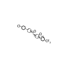 O=C(CN1CCN(c2ccc(C(F)(F)F)cn2)C(=O)C1)N1CC=C(c2ccc(Cl)cc2)CC1